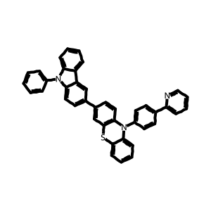 c1ccc(-n2c3ccccc3c3cc(-c4ccc5c(c4)Sc4ccccc4N5c4ccc(-c5ccccn5)cc4)ccc32)cc1